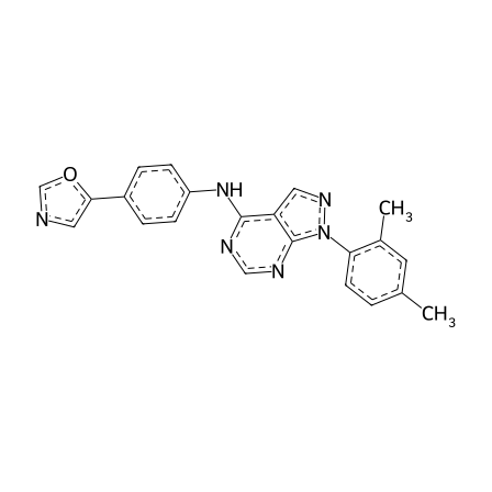 Cc1ccc(-n2ncc3c(Nc4ccc(-c5cnco5)cc4)ncnc32)c(C)c1